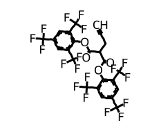 C#CCC(C(=O)Oc1c(C(F)(F)F)cc(C(F)(F)F)cc1C(F)(F)F)C(=O)Oc1c(C(F)(F)F)cc(C(F)(F)F)cc1C(F)(F)F